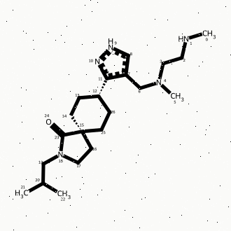 CNCCN(C)Cc1c[nH]nc1[C@H]1CC[C@@]2(CCN(CC(C)C)C2=O)CC1